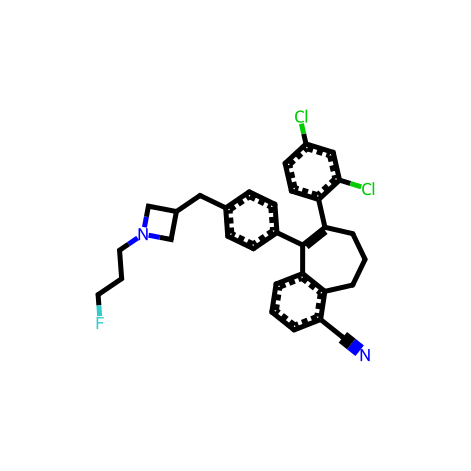 N#Cc1cccc2c1CCCC(c1ccc(Cl)cc1Cl)=C2c1ccc(CC2CN(CCCF)C2)cc1